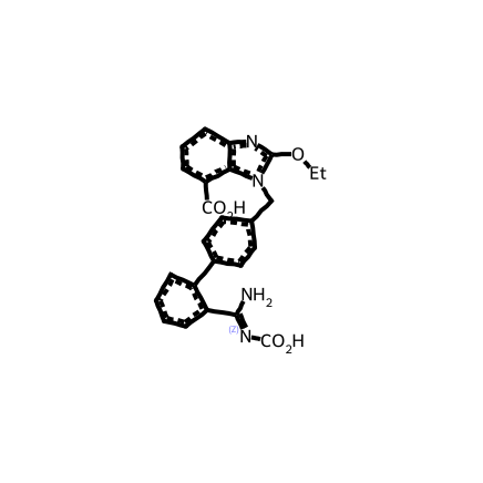 CCOc1nc2cccc(C(=O)O)c2n1Cc1ccc(-c2ccccc2/C(N)=N/C(=O)O)cc1